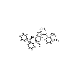 Cc1c(Cn2c(C)nc3c(N=C(c4ccccc4)c4ccccc4)nc(Cl)cc32)cccc1C(F)(F)F